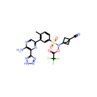 Cc1ccc(S(=O)(=O)N(OC(=O)C(F)(F)F)C23CC(C#N)(C2)C3)cc1-c1cnc(N)c(-c2nn[nH]n2)n1